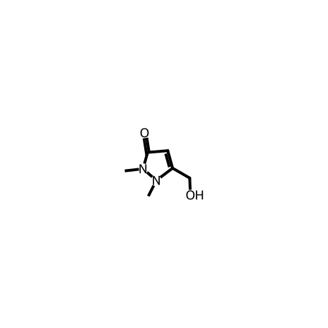 Cn1c(CO)cc(=O)n1C